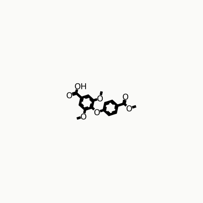 COC(=O)c1ccc(Oc2c(OC)cc(C(=O)O)cc2OC)cc1